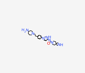 NC1CCCN(CCc2ccc(N3C=CC(NC(=O)N4CCC5(CC4)CNC5)=NC3)cc2)CC1